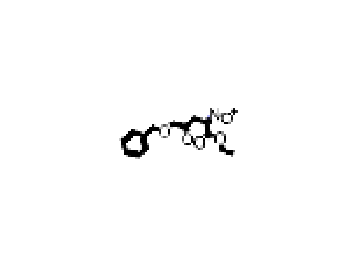 CCOC(=O)/C(CC(=O)COCc1ccccc1)=N\OC